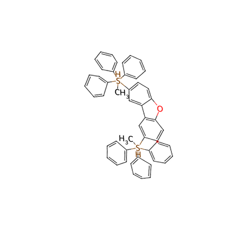 C[SH](c1ccccc1)(c1ccccc1)(c1ccccc1)c1ccc2oc3ccc([SH](C)(c4ccccc4)(c4ccccc4)c4ccccc4)cc3c2c1